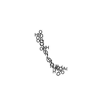 CC(=O)c1c(C)c2cnc(Nc3ccc(N4CCN(CCN5CCN(C(=O)Nc6ccc7c(c6)CN(C6CCC(=O)NC6=O)C7=O)CC5)CC4)cn3)nc2n(C2CCCC2)c1=O